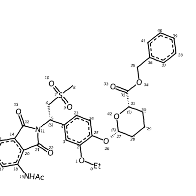 CCOc1cc([C@@H](CS(C)(=O)=O)N2C(=O)c3cccc(NC(C)=O)c3C2=O)ccc1O[C@H]1[CH][CH][CH][C@@H](C(=O)OCc2ccccc2)O1